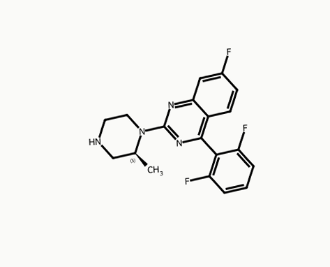 C[C@H]1CNCCN1c1nc(-c2c(F)cccc2F)c2ccc(F)cc2n1